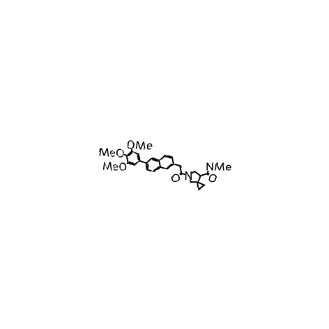 CNC(=O)C1CN(C(=O)Cc2ccc3cc(-c4cc(OC)c(OC)c(OC)c4)ccc3c2)CC12CC2